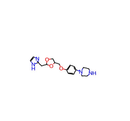 c1c[nH]c(CC2OCC(COc3ccc(N4CCNCC4)cc3)O2)n1